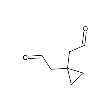 O=CCC1(CC=O)CC1